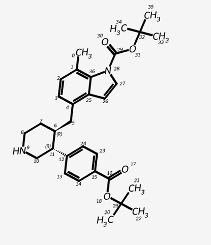 Cc1ccc(C[C@@H]2CCNC[C@H]2c2ccc(C(=O)OC(C)(C)C)cc2)c2ccn(C(=O)OC(C)(C)C)c12